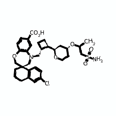 CC(CS(N)(=O)=O)O[C@@H]1CCO[C@@H]([C@@H]2CC[C@H]2CN2C[C@@]3(CCCc4cc(Cl)ccc43)COc3ccc(C(=O)O)cc32)C1